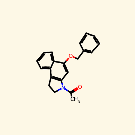 CC(=O)N1CCc2c1cc(OCc1ccccc1)c1ccccc21